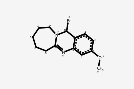 FC(F)(F)Oc1ccc2c(c1)N=C1CCCCCN1C2Br